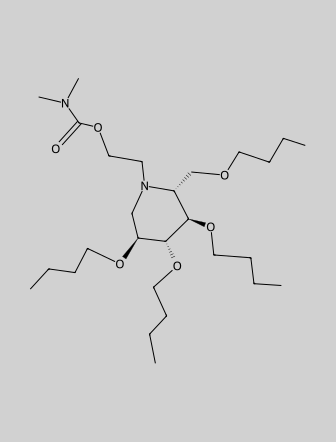 CCCCOC[C@@H]1[C@@H](OCCCC)[C@H](OCCCC)[C@@H](OCCCC)CN1CCOC(=O)N(C)C